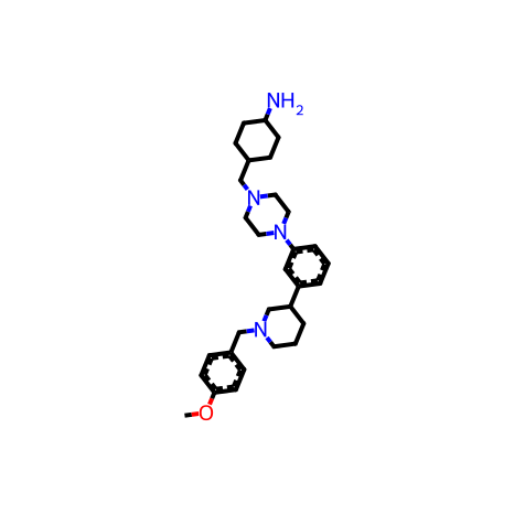 COc1ccc(CN2CCCC(c3cccc(N4CCN(CC5CCC(N)CC5)CC4)c3)C2)cc1